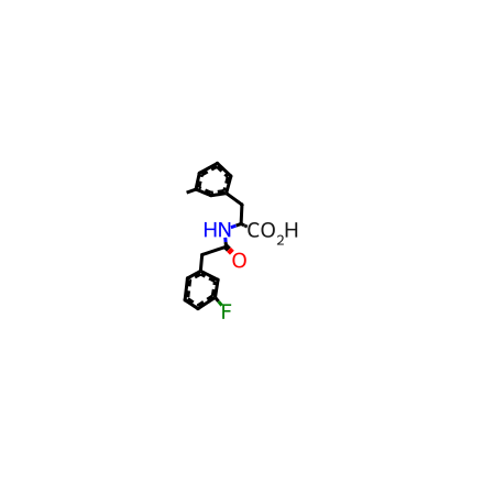 Cc1cccc(CC(NC(=O)Cc2cccc(F)c2)C(=O)O)c1